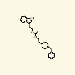 O=C(NCCC1CCN(Cc2ccccc2)CC1)OCCc1c[nH]c2ccccc12